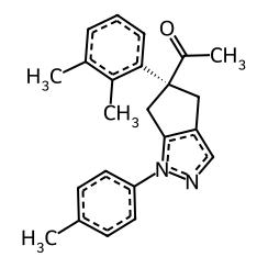 CC(=O)[C@@]1(c2cccc(C)c2C)Cc2cnn(-c3ccc(C)cc3)c2C1